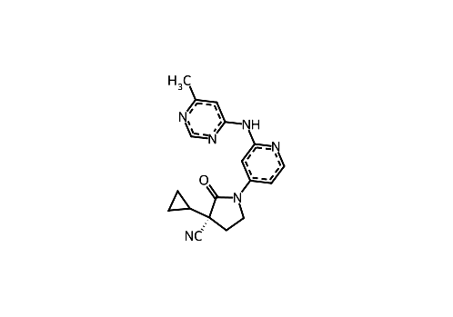 Cc1cc(Nc2cc(N3CC[C@@](C#N)(C4CC4)C3=O)ccn2)ncn1